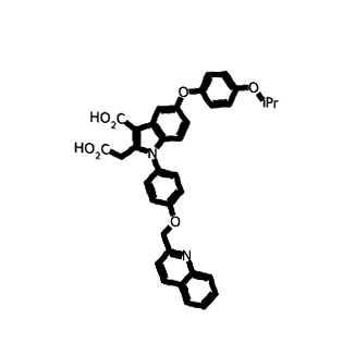 CC(C)Oc1ccc(Oc2ccc3c(c2)c(C(=O)O)c(CC(=O)O)n3-c2ccc(OCc3ccc4ccccc4n3)cc2)cc1